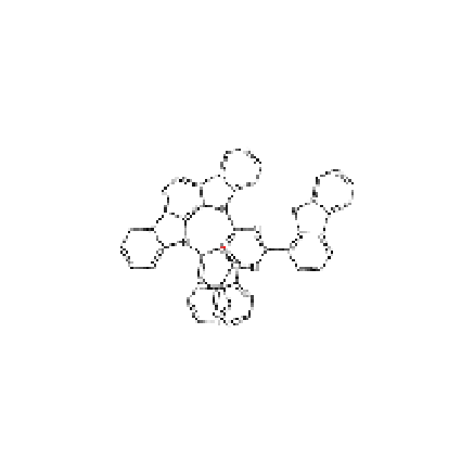 c1ccc(-c2nc(-c3cccc4c3sc3ccccc34)nc(-n3c4ccccc4c4ccc5c6ccccc6n(-c6ccc7ccccc7c6)c5c43)n2)cc1